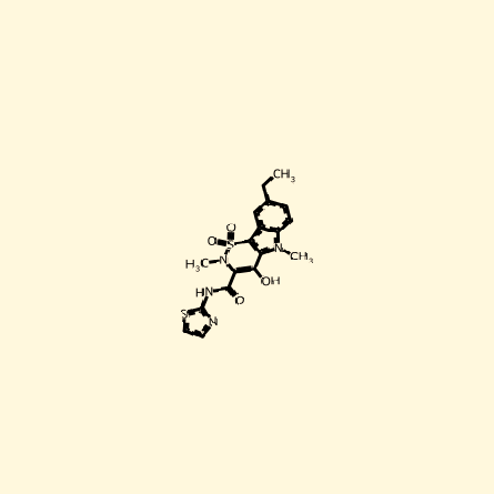 CCc1ccc2c(c1)c1c(n2C)C(O)=C(C(=O)Nc2nccs2)N(C)S1(=O)=O